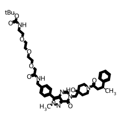 C[C@H](CC(=O)N1CCC(O)(Cn2cnc3c(-c4ccc(CNC(=O)COCCOCCOCCNC(=O)OC(C)(C)C)cc4)n(C)nc3c2=O)CC1)c1ccccc1